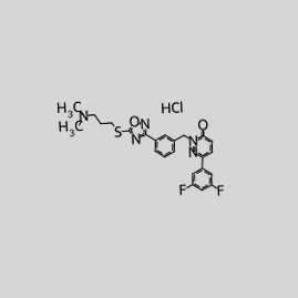 CN(C)CCCSc1nc(-c2cccc(Cn3nc(-c4cc(F)cc(F)c4)ccc3=O)c2)no1.Cl